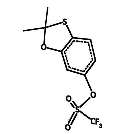 CC1(C)Oc2cc(OS(=O)(=O)C(F)(F)F)ccc2S1